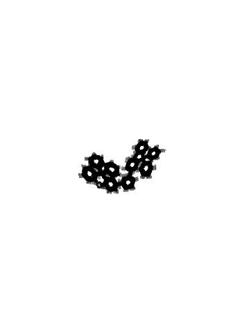 c1ccc(C2(c3ccccc3)c3ccccc3Oc3ccc(-c4cccc(-c5ccc6c(c5)C(c5ccccc5)(c5ccccc5)c5ccccc5-6)c4)cc32)cc1